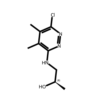 Cc1c(Cl)nnc(NC[C@@H](C)O)c1C